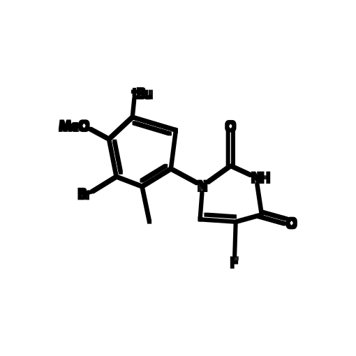 COc1c(C(C)(C)C)cc(-n2cc(F)c(=O)[nH]c2=O)c(C)c1Br